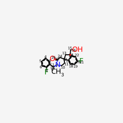 C[C@@H](c1ccccc1F)N1CCC(CCCO)(c2ccc(F)cc2)CC1=O